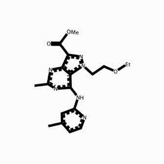 CCOCCn1nc(C(=O)OC)c2nc(C)nc(Nc3cc(C)ccn3)c21